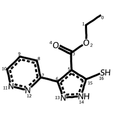 CCOC(=O)c1c(-c2cccnn2)n[nH]c1S